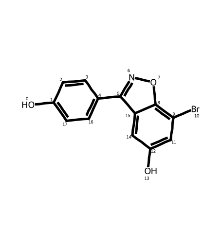 Oc1ccc(-c2noc3c(Br)cc(O)cc23)cc1